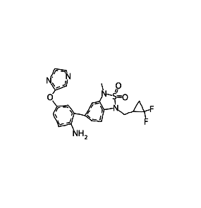 CN1c2cc(-c3cc(Oc4cnccn4)ccc3N)ccc2N(CC2CC2(F)F)S1(=O)=O